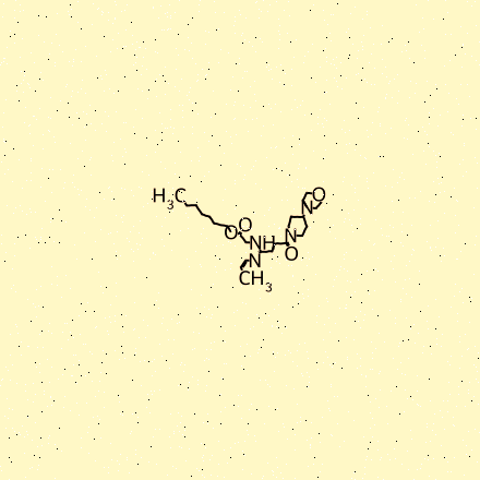 C/C=C\N=C(\CCC(=O)N1CCC(N2CCOCC2)CC1)NCC(=O)OCCCCCCC